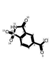 O=C(Cl)c1ccc2c(c1)C(=O)NS2(=O)=O